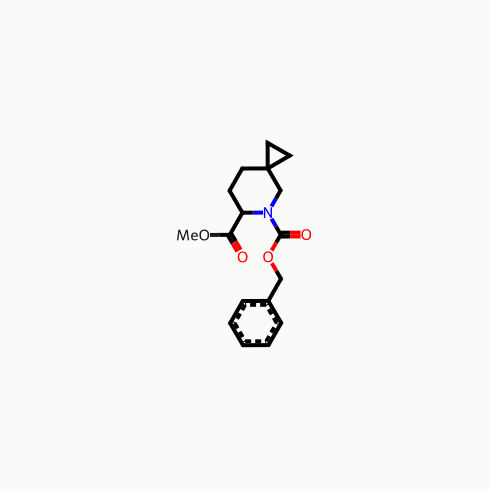 COC(=O)C1CCC2(CC2)CN1C(=O)OCc1ccccc1